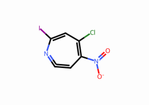 O=[N+]([O-])C1=C(Cl)C=C(I)N=C=C1